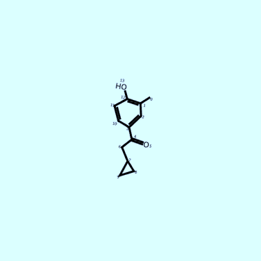 Cc1cc(C(=O)CC2CC2)ccc1O